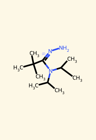 CC(C)N(/C(=N\N)C(C)(C)C)C(C)C